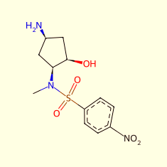 CN([C@H]1C[C@@H](N)C[C@H]1O)S(=O)(=O)c1ccc([N+](=O)[O-])cc1